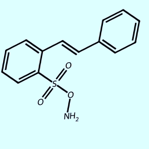 NOS(=O)(=O)c1ccccc1C=Cc1ccccc1